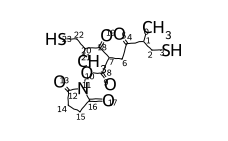 CC(CS)C(=O)CC(C(=O)ON1C(=O)CCC1=O)C(=O)C(C)CS